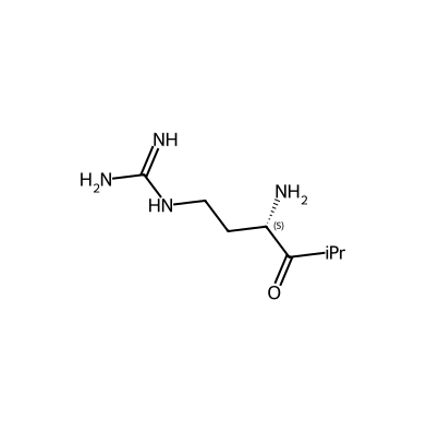 CC(C)C(=O)[C@@H](N)CCNC(=N)N